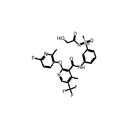 Cc1nc(F)ccc1Oc1ncc(C(F)(F)F)c(C)c1C(=O)Nc1cccc([S@@](C)(=O)=NC(=O)CO)c1